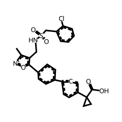 Cc1noc(-c2ccc(-c3ccc(C4(C(=O)O)CC4)cc3)cc2)c1CNS(=O)(=O)Cc1ccccc1Cl